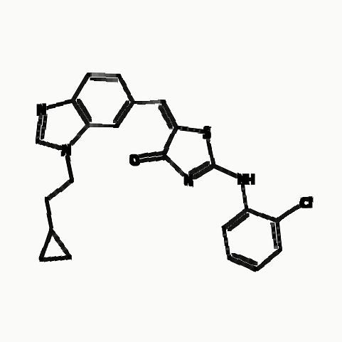 O=C1N=C(Nc2ccccc2Cl)SC1=Cc1ccc2ncn(CCC3CC3)c2c1